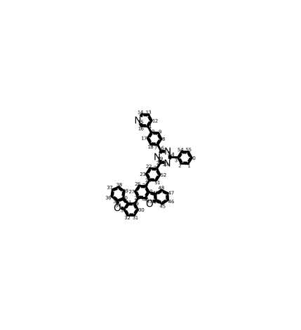 c1ccc(-c2nc(-c3ccc(-c4cccnc4)cc3)nc(-c3ccc(-c4ccc(-c5cccc6oc7ccccc7c56)c5oc6ccccc6c45)cc3)n2)cc1